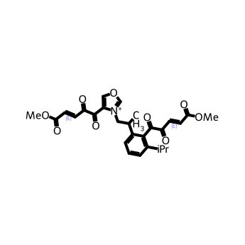 COC(=O)/C=C/C(=O)C(=O)c1c(C(C)C)cccc1C(C)C[n+]1cocc1C(=O)C(=O)/C=C/C(=O)OC